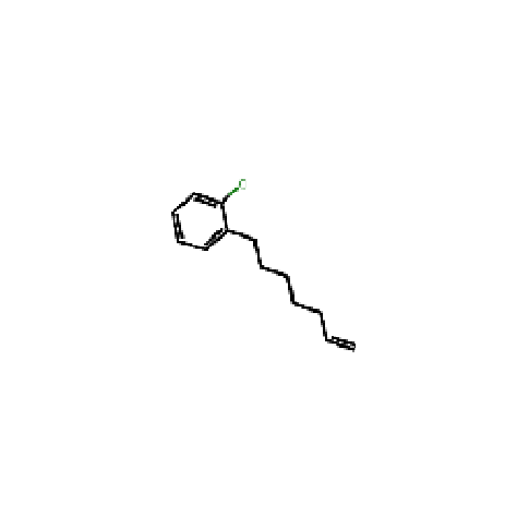 C=CCCCCCc1ccccc1Cl